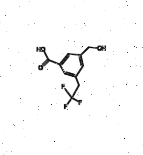 O=C(O)c1cc(CO)cc(CC(F)(F)F)c1